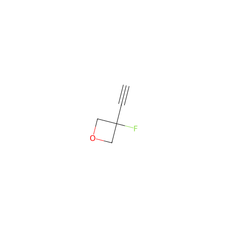 C#CC1(F)COC1